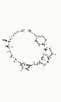 O=C1CCCCOc2ccc(cc2)-n2nnc3cnc(nc32)Nc2cnn(c2)CCCN1